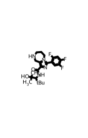 CC(C)(C)C(NC(=O)c1nc(-c2cc(F)c(F)cc2F)n2c1CNCCC2)C(C)(C)O